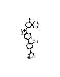 CC1(C)CC(n2nnc3cc(-c4ccc(-c5cn[nH]c5)cc4O)nnc32)CCN1